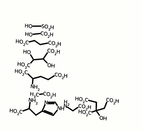 CC(=O)O.NC(CCC(=O)O)C(=O)O.NC(Cc1c[nH]cn1)C(=O)O.NCC(=O)O.O=C(O)C(O)C(O)C(=O)O.O=C(O)CC(O)(CC(=O)O)C(=O)O.O=C(O)CCC(=O)O.O=C(O)O.O=S(=O)(O)O